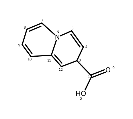 O=C(O)C1C=CN2C=CC=CC2=C1